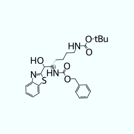 CC(C)(C)OC(=O)NCCCC[C@H](NC(=O)OCc1ccccc1)C(O)c1nc2ccccc2s1